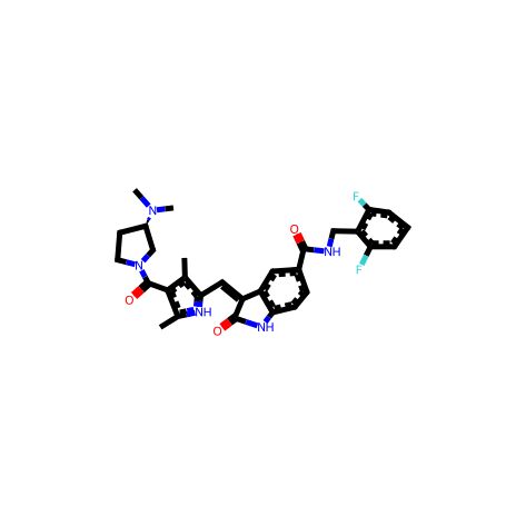 Cc1[nH]c(/C=C2\C(=O)Nc3ccc(C(=O)NCc4c(F)cccc4F)cc32)c(C)c1C(=O)N1CC[C@H](N(C)C)C1